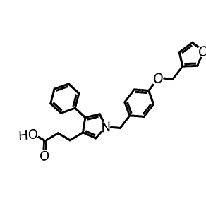 O=C(O)CCc1cn(Cc2ccc(OCc3ccoc3)cc2)cc1-c1ccccc1